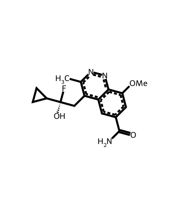 COc1cc(C(N)=O)cc2c(C[C@](O)(F)C3CC3)c(C)nnc12